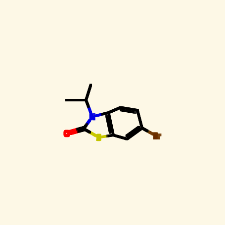 CC(C)n1c(=O)sc2cc(Br)ccc21